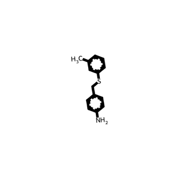 Cc1cccc(SCc2ccc(N)cc2)c1